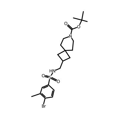 Cc1cc(S(=O)(=O)NCC2CC3(CCN(C(=O)OC(C)(C)C)CC3)C2)ccc1Br